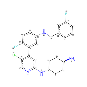 N[C@H]1CC[C@H](Nc2cc(-c3cc(NCc4cccc(F)c4)ccc3F)c(Cl)cn2)CC1